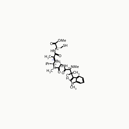 CN[C@H](C(=O)N[C@H](C(=O)N(C)[C@H](/C=C(\C)C(=O)N[C@@H](CS)C(=O)OC)C(C)C)C(C)(C)C)C(C)(C)c1cn(C)c2ccccc12